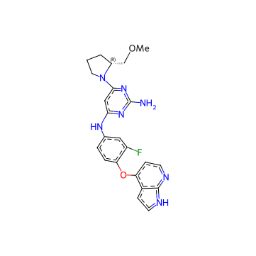 COC[C@H]1CCCN1c1cc(Nc2ccc(Oc3ccnc4[nH]ccc34)c(F)c2)nc(N)n1